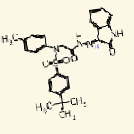 Cc1ccc(N(CC(=O)N/N=C2/C(=O)Nc3ccccc32)S(=O)(=O)c2ccc(C(C)(C)C)cc2)cc1